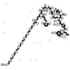 CC[C@H](C)[C@H](NC(=O)C(C)(C)N(C)C)C(=O)N(CCC(=O)NCCNC(=O)[C@H](C)NC(=O)[C@H](C)NC(=O)[C@H](CCCCNC(=O)COCCOCCOCCOCCOCCOCCOCCOCCOCCOC)NC(=O)CCCN1C(=O)C=CC1=O)[C@H](C[C@@H](OC(C)=O)c1nc(C(=O)N[C@@H](Cc2ccc(O)cc2)C[C@H](C)C(=O)O)cs1)C(C)C